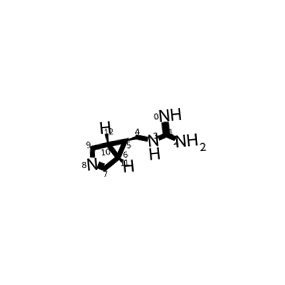 N=C(N)NC[C@H]1[C@@H]2C=NC[C@@H]21